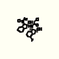 CC(=O)N(Cl)[C@H]1c2ccccc2C[C@H]1O.O=C(CCl)N[C@H]1c2cccc(F)c2C[C@H]1O